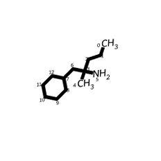 CCCC(C)(N)CC1CCCCC1